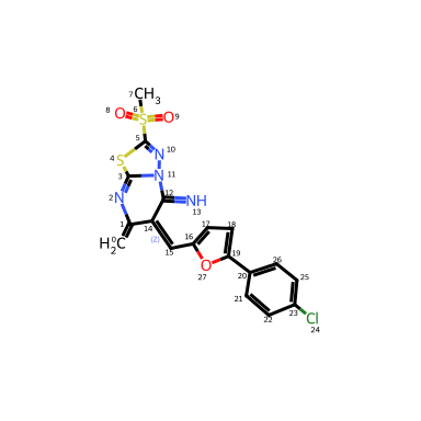 C=c1nc2sc(S(C)(=O)=O)nn2c(=N)/c1=C\c1ccc(-c2ccc(Cl)cc2)o1